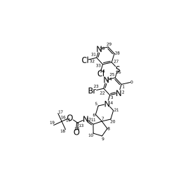 Cc1nc(N2CCC3(CCCC3=NC(=O)OC(C)(C)C)CC2)c(Br)nc1Sc1ccnc(Cl)c1Cl